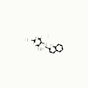 Nc1nc(S)nc(O)c1N=Cc1ccc2ccccc2n1